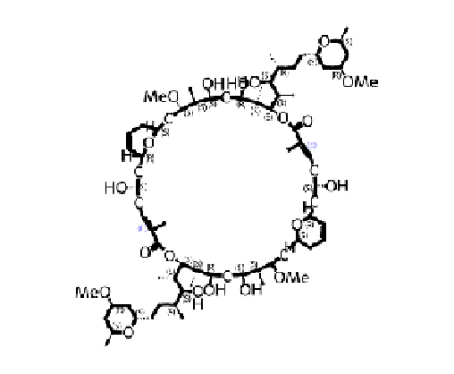 COC1C[C@@H]2CC=C[C@@H](C[C@@H](O)C/C=C(\C)C(=O)O[C@H]([C@H](C)[C@@H](O)[C@H](C)CC[C@H]3C[C@H](OC)C[C@H](C)O3)[C@@H](C)[C@H](O)C[C@H](O)[C@H](C)[C@@H](OC)C[C@@H]3CC=C[C@@H](C[C@@H](O)C/C=C(\C)C(=O)O[C@H]([C@@H](C)[C@@H](O)[C@@H](C)CC[C@H]4C[C@H](OC)C[C@H](C)O4)[C@@H](C)[C@H](O)C[C@H](O)[C@@H]1C)O3)O2